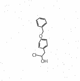 OC(Cl)Cc1ccc(OCc2ccccc2)cc1